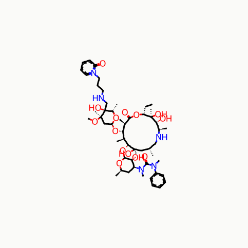 CC[C@H]1OC(=O)[C@H](C)[C@@H](O[C@H]2C[C@@](C)(OC)[C@](O)(CNCCCn3ccccc3=O)[C@H](C)O2)[C@H](C)[C@@H](O[C@@H]2O[C@H](C)C[C@H](N(C)C(=O)N(C)c3ccccc3)[C@H]2O)[C@](C)(O)C[C@@H](C)CN[C@H](C)[C@@H](O)[C@]1(C)O